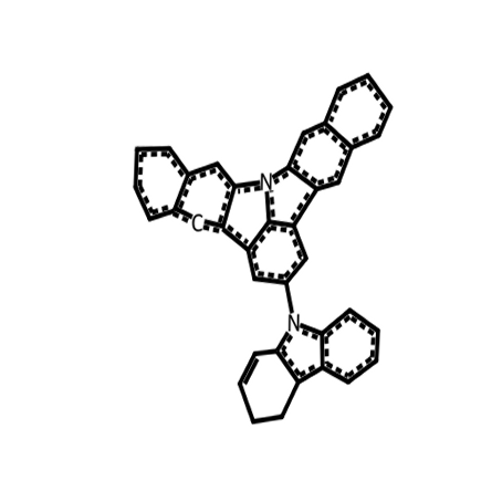 C1=Cc2c(c3ccccc3n2-c2cc3c4cc5ccccc5cc4n4c5cc6ccccc6cc5c(c2)c34)CC1